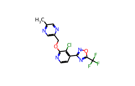 Cc1cnc(COc2nccc(-c3noc(C(F)(F)F)n3)c2Cl)cn1